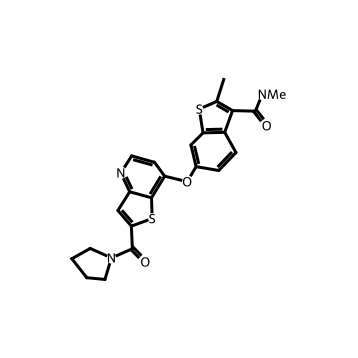 CNC(=O)c1c(C)sc2cc(Oc3ccnc4cc(C(=O)N5CCCC5)sc34)ccc12